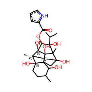 CC1CC[C@@]2(O)C3(CC4(O)C[C@]2(C)[C@]2(O)C(OC(=O)c5ccc[nH]5)C(O)(C(C)C)C4(C)C32O)C1O